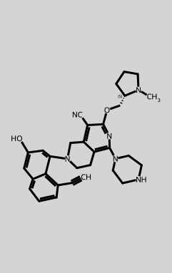 C#Cc1cccc2cc(O)cc(N3CCc4c(N5CCNCC5)nc(OC[C@@H]5CCCN5C)c(C#N)c4C3)c12